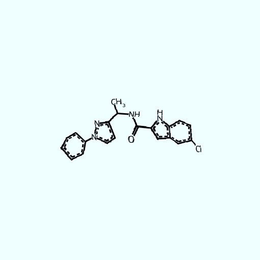 CC(NC(=O)c1cc2cc(Cl)ccc2[nH]1)c1ccn(-c2ccccc2)n1